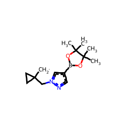 [CH2]C1(Cn2cc(B3OC(C)(C)C(C)(C)O3)cn2)CC1